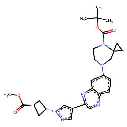 COC(=O)[C@H]1C[C@H](n2cc(-c3cnc4ccc(N5CCN(C(=O)OC(C)(C)C)C6(CC6)C5)cc4n3)cn2)C1